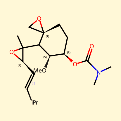 CO[C@H]1C(C2(C)O[C@@H]2/C=C/C(C)C)[C@]2(CC[C@H]1OC(=O)N(C)C)CO2